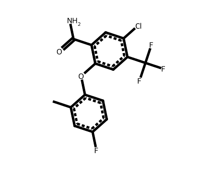 Cc1cc(F)ccc1Oc1cc(C(F)(F)F)c(Cl)cc1C(N)=O